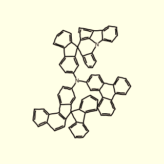 c1ccc2c(c1)-c1ccccc1C21c2cc(N(c3ccc4c(c3)C3(c5ccccc5-4)c4ccccc4-n4c5ccccc5c5cccc3c54)c3ccc4c5ccccc5c5ccccc5c4c3)ccc2-c2c1ccc1ccccc21